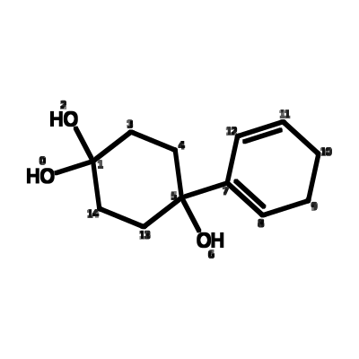 OC1(O)CCC(O)(C2=CCCC=C2)CC1